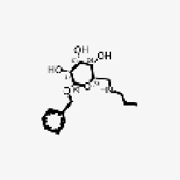 CCCNC[C@H]1O[C@H](OCc2ccccc2)[C@@H](O)[C@H](O)[C@@H]1O